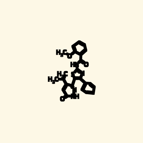 COc1ccccc1C(=O)Nc1nc(-c2ccccc2)c(-c2n[nH]c(=O)cc2C(C)C)s1